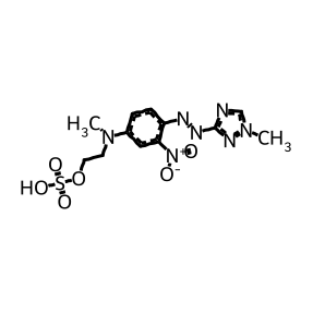 CN(CCOS(=O)(=O)O)c1ccc(N=Nc2ncn(C)n2)c([N+](=O)[O-])c1